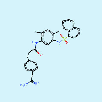 Cc1cc(C)c(NS(=O)(=O)c2cccc3ccccc23)cc1NC(=O)Cc1ccc(C(=N)N)cc1